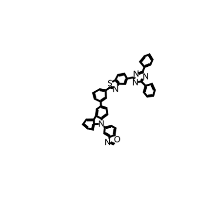 c1ccc(-c2nc(-c3ccccc3)nc(-c3ccc4sc(-c5cccc(-c6ccc7c(c6)c6ccccc6n7-c6ccc7ocnc7c6)c5)nc4c3)n2)cc1